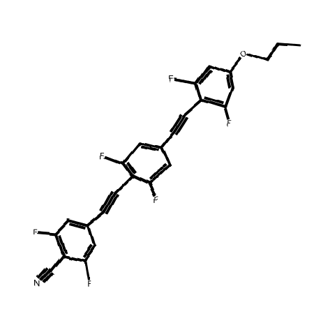 CCCOc1cc(F)c(C#Cc2cc(F)c(C#Cc3cc(F)c(C#N)c(F)c3)c(F)c2)c(F)c1